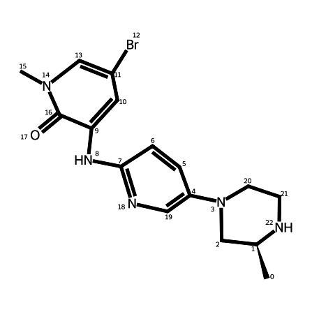 C[C@H]1CN(c2ccc(Nc3cc(Br)cn(C)c3=O)nc2)CCN1